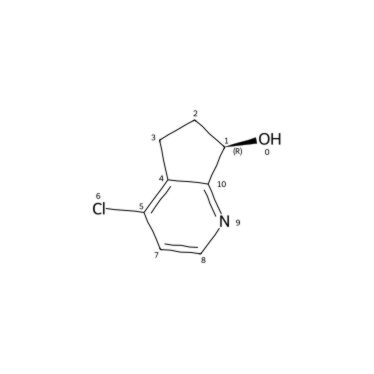 O[C@@H]1CCc2c(Cl)ccnc21